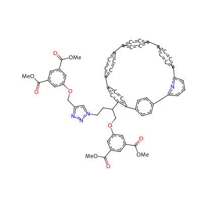 COC(=O)c1cc(OCc2cn(CCC(COc3cc(C(=O)OC)cc(C(=O)OC)c3)c3cc4ccc3-c3ccc(cc3)-c3cccc(n3)-c3ccc(cc3)-c3ccc(cc3)-c3ccc-4cc3)nn2)cc(C(=O)OC)c1